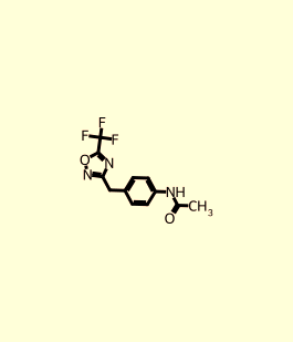 CC(=O)Nc1ccc(Cc2noc(C(F)(F)F)n2)cc1